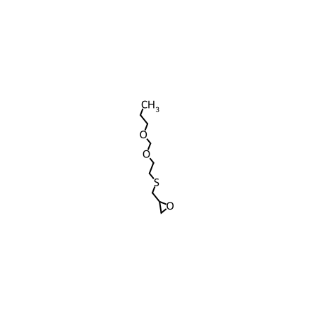 CCCOCOCCSCC1CO1